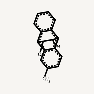 Cc1ccc2c3c4ccccc4c(c2c1)C(O)C3O